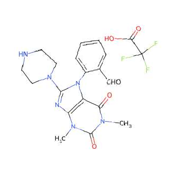 Cn1c(=O)c2c(nc(N3CCNCC3)n2-c2ccccc2C=O)n(C)c1=O.O=C(O)C(F)(F)F